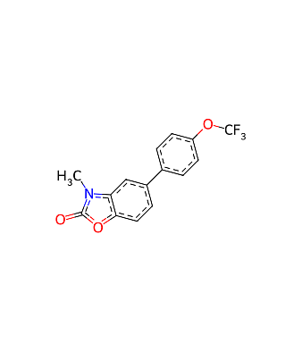 Cn1c(=O)oc2ccc(-c3ccc(OC(F)(F)F)cc3)cc21